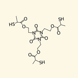 CC(S)C(=O)OCCn1c(=O)n(CCOC(=O)C(C)S)c(=O)n(CCOC(=O)C(C)S)c1=O